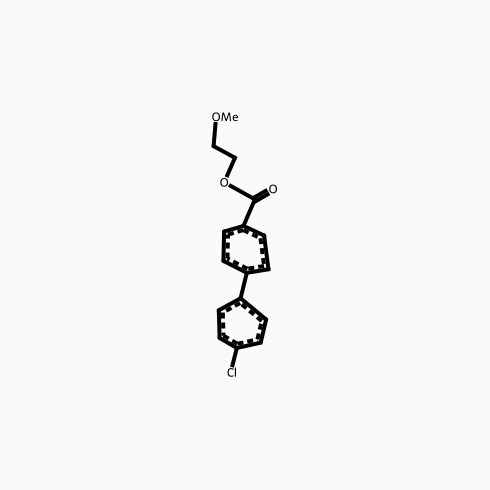 COCCOC(=O)c1ccc(-c2ccc(Cl)cc2)cc1